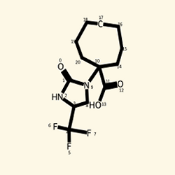 O=C1NC(C(F)(F)F)CN1C1(C(=O)O)CCCCCCC1